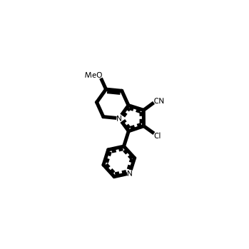 COC1=Cc2c(C#N)c(Cl)c(-c3cccnc3)n2CC1